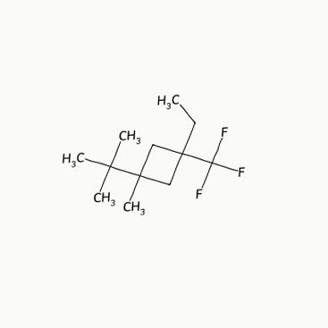 CCC1(C(F)(F)F)CC(C)(C(C)(C)C)C1